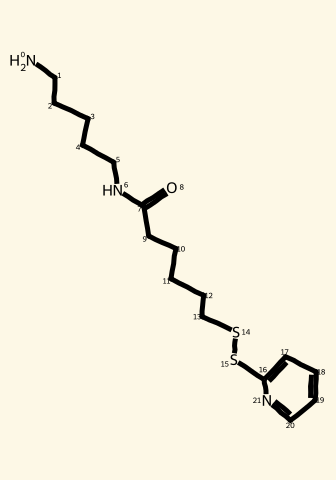 NCCCCCNC(=O)CCCCCSSc1ccccn1